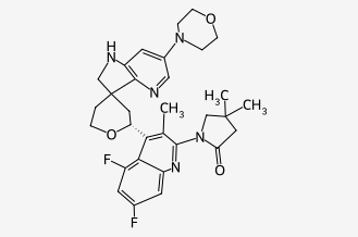 Cc1c(N2CC(C)(C)CC2=O)nc2cc(F)cc(F)c2c1[C@H]1CC2(CCO1)CNc1cc(N3CCOCC3)cnc12